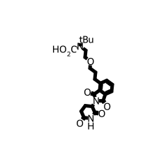 CC(C)(C)N(CCOCCCc1cccc2c1C(=O)N(C1CCC(=O)NC1=O)C2=O)C(=O)O